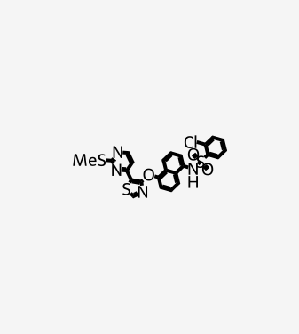 CSc1nccc(-c2scnc2Oc2cccc3c(NS(=O)(=O)c4ccccc4Cl)cccc23)n1